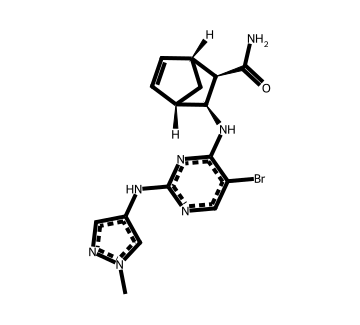 Cn1cc(Nc2ncc(Br)c(N[C@@H]3[C@H](C(N)=O)[C@H]4C=C[C@@H]3C4)n2)cn1